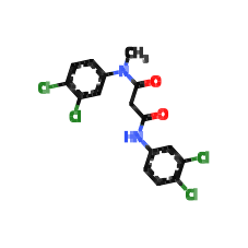 CN(C(=O)CC(=O)Nc1ccc(Cl)c(Cl)c1)c1ccc(Cl)c(Cl)c1